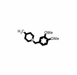 COc1ccc(CN2CCC(C)CC2)cc1OC